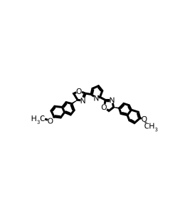 COc1ccc2cc([C@H]3COC(c4cccc(C5=N[C@@H](c6ccc7cc(OC)ccc7c6)CO5)n4)=N3)ccc2c1